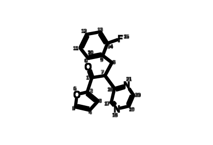 O=C(c1ccco1)C(Cc1ccccc1F)c1cnccn1